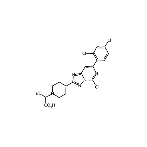 CCC(C(=O)O)N1CCC(c2nc3cc(-c4ccc(Cl)cc4Cl)nc(Cl)n3n2)CC1